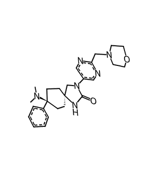 CN(C)[C@]1(c2ccccc2)CC[C@]2(CC1)CN(c1cnc(CN3CCOCC3)nc1)C(=O)N2